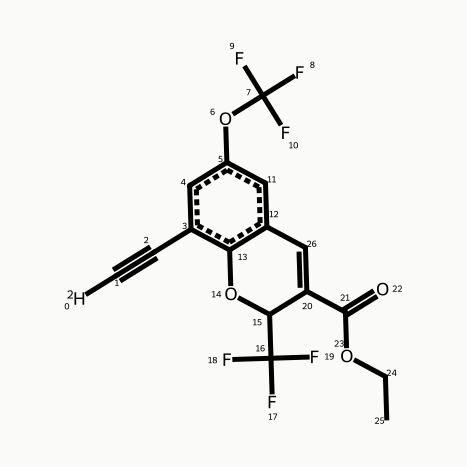 [2H]C#Cc1cc(OC(F)(F)F)cc2c1OC(C(F)(F)F)C(C(=O)OCC)=C2